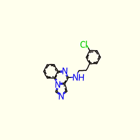 Clc1cccc(CCNc2nc3ccccc3n3cncc23)c1